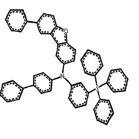 c1ccc(-c2ccc(N(c3cccc(S(c4ccccc4)(c4ccccc4)c4ccccc4)c3)c3ccc4oc5ccc(-c6ccccc6)cc5c4c3)cc2)cc1